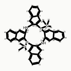 C[Si](C)(C)P1c2cc3ccccc3cc2Nc2cc3ccccc3cc2P([Si](C)(C)C)c2cc3ccccc3cc2Nc2cc3ccccc3cc21